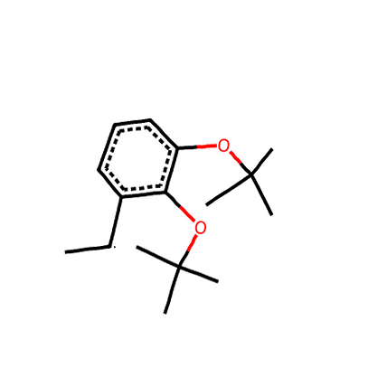 C[CH]c1cccc(OC(C)(C)C)c1OC(C)(C)C